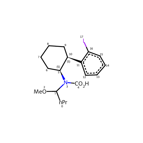 CCCC(OC)N(C(=O)O)[C@H]1CCCC[C@H]1c1ccccc1I